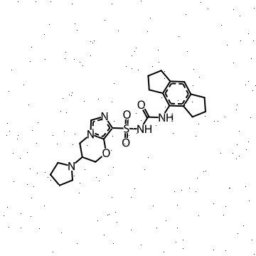 O=C(Nc1c2c(cc3c1CCC3)CCC2)NS(=O)(=O)c1ncn2c1OCC(N1CCCC1)C2